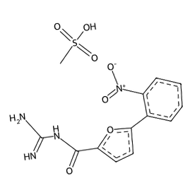 CS(=O)(=O)O.N=C(N)NC(=O)c1ccc(-c2ccccc2[N+](=O)[O-])o1